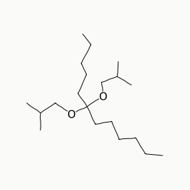 CCCCCCC(CCCCC)(OCC(C)C)OCC(C)C